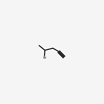 C#CCC(C)Br